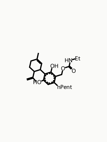 C=C(C)C1CCC(C)=CC1c1c(O)cc(CCCCC)c(COC(=O)NCC)c1O